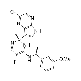 COc1cccc([C@H](C)NC2=C(F)C=N[C@](C)(c3c[nH]c4ncc(Cl)nc34)N2)c1